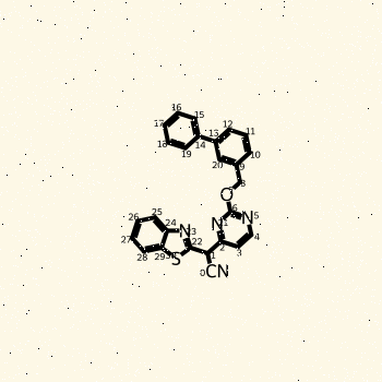 N#CC(c1ccnc(OCc2cccc(-c3ccccc3)c2)n1)c1nc2ccccc2s1